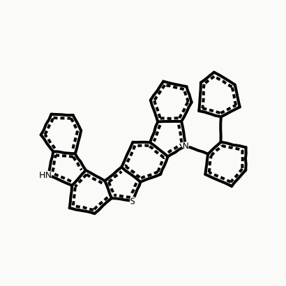 c1ccc(-c2ccccc2-n2c3ccccc3c3cc4c(cc32)sc2ccc3[nH]c5ccccc5c3c24)cc1